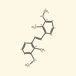 COc1cccc(C=Cc2cccc(OC)c2C)c1C